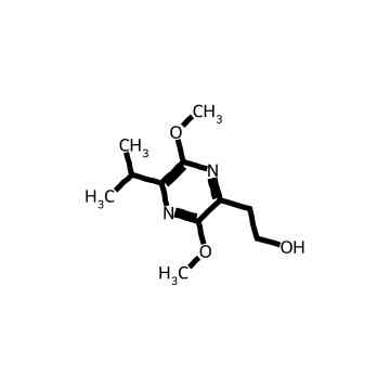 COc1nc(C(C)C)c(OC)nc1CCO